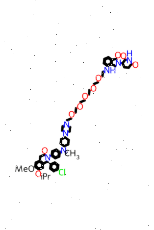 COc1cc2c(cc1OC(C)C)[C@H](c1ccc(Cl)cc1)N(c1ccc(N(C)[C@H]3CC[C@H](N4CCN(CCOCCOCCOCCOCCOCCNc5cccc6c5CN(C5CCC(=O)NC5=O)C6=O)CC4)CC3)cc1)C(=O)C2